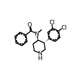 CN(C(=O)c1ccccc1)[C@@H]1CCNC[C@H]1c1ccc(Cl)c(Cl)c1